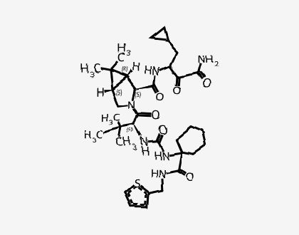 CC(C)(C)[C@H](NC(=O)NC1(C(=O)NCc2cccs2)CCCCC1)C(=O)N1C[C@H]2[C@@H]([C@H]1C(=O)NC(CC1CC1)C(=O)C(N)=O)C2(C)C